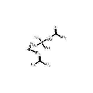 CC(C)NC(C)C.CCCC[N+](CCCC)(CCCC)CCCC.NC(=S)S.NC(=S)[S-]